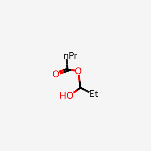 CCCC(=O)OC(O)CC